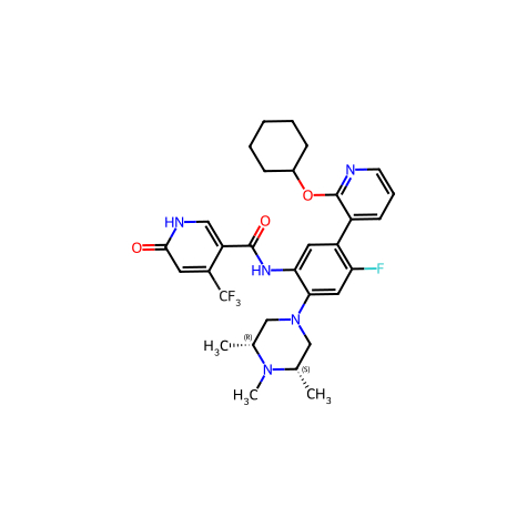 C[C@@H]1CN(c2cc(F)c(-c3cccnc3OC3CCCCC3)cc2NC(=O)c2c[nH]c(=O)cc2C(F)(F)F)C[C@H](C)N1C